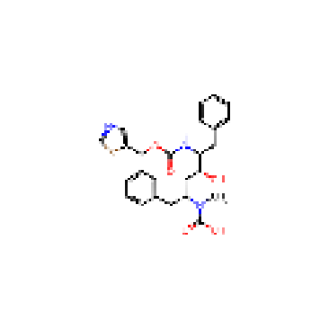 CN(C(=O)O)[C@@H](Cc1ccccc1)C[C@H](O)[C@H](Cc1ccccc1)NC(=O)OCc1cncs1